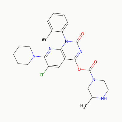 CC1CN(C(=O)Oc2nc(=O)n(-c3ccccc3C(C)C)c3nc(N4CCCCC4)c(Cl)cc23)CCN1